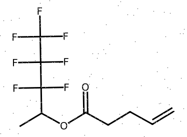 C=CCCC(=O)OC(C)C(F)(F)C(F)(F)C(F)(F)F